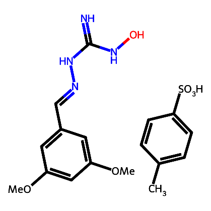 COc1cc(C=NNC(=N)NO)cc(OC)c1.Cc1ccc(S(=O)(=O)O)cc1